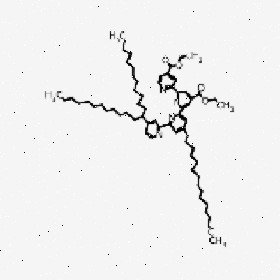 CCCCCCCCCCCCCCCCc1cc(-c2cc(C(CCCCCCCCCCCC)CCCCCCCCCCCC)ccn2)nc(-c2cc(C(=O)OCC)cc(-c3cc(C(=O)OCC)ccn3)n2)c1